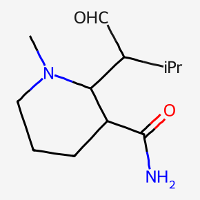 CC(C)C(C=O)C1C(C(N)=O)CCCN1C